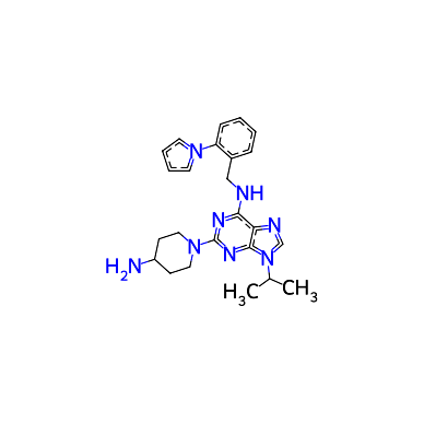 CC(C)n1cnc2c(NCc3ccccc3-n3cccc3)nc(N3CCC(N)CC3)nc21